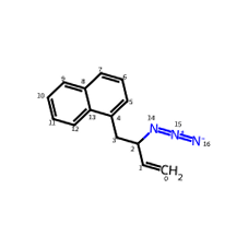 C=CC(Cc1cccc2ccccc12)N=[N+]=[N-]